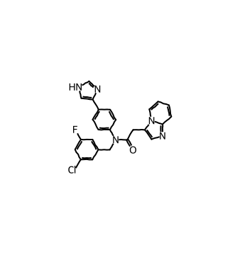 O=C(Cc1cnc2ccccn12)N(Cc1cc(F)cc(Cl)c1)c1ccc(-c2c[nH]cn2)cc1